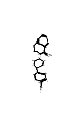 O=C1c2ccccc2CC[C@H]1C1CCC(c2ccc(Cl)cc2)CC1